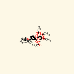 CC(=O)OC[C@H]1O[C@@H](Oc2ccc(CO[Si](C)(C)C(C)(C)C)cc2C=O)[C@H](OC(C)=O)[C@@H](OC(C)=O)[C@H]1OC(C)=O